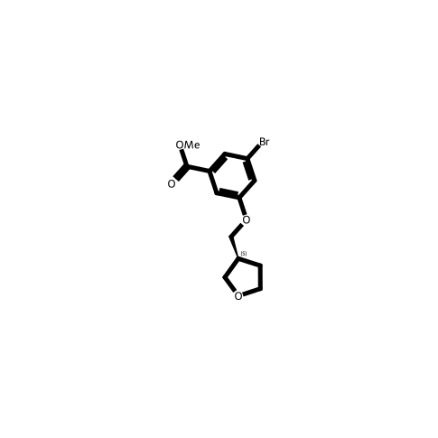 COC(=O)c1cc(Br)cc(OC[C@H]2CCOC2)c1